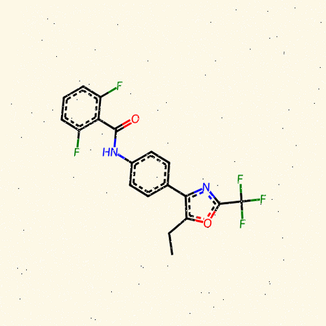 CCc1oc(C(F)(F)F)nc1-c1ccc(NC(=O)c2c(F)cccc2F)cc1